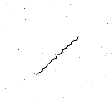 CCCCCCCCNCCCCCCCN